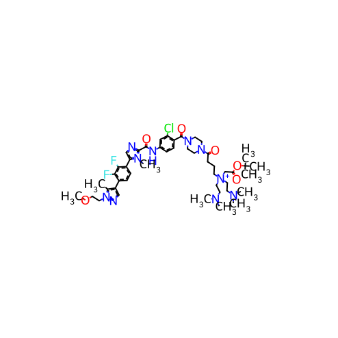 COCCn1ncc(-c2ccc(-c3cnc(C(=O)Nc4ccc(C(=O)N5CCN(C(=O)CCC[N+](CCN(C)C)(CCN(C)C)CC(=O)OC(C)(C)C)CC5)c(Cl)c4)n3C)c(F)c2F)c1C